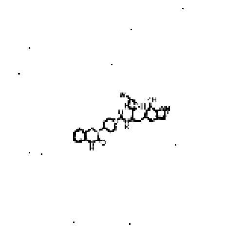 Cc1cc(CC(NC(=O)N2CCC(N3Cc4ccccc4NC3=O)CC2)c2nc(Br)c[nH]2)cc2cn[nH]c12